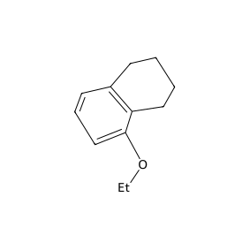 [CH2]COc1cccc2c1CCCC2